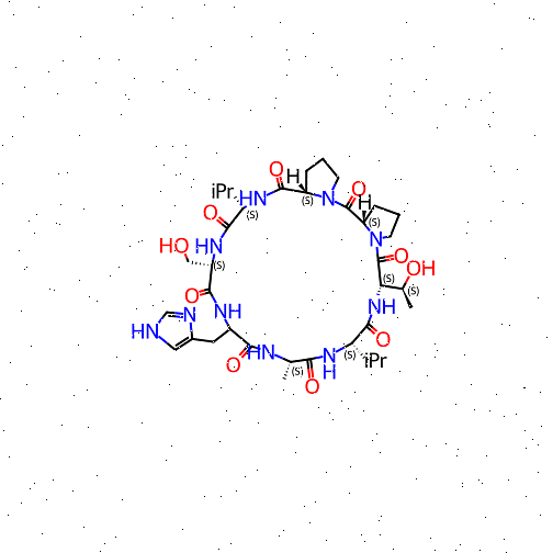 CC(C)[C@@H]1NC(=O)[C@H](C)NC(=O)C(Cc2c[nH]cn2)NC(=O)[C@H](CO)NC(=O)[C@H](C(C)C)NC(=O)[C@@H]2CCCN2C(=O)[C@@H]2CCCN2C(=O)[C@H]([C@H](C)O)NC1=O